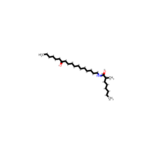 CCCCCCC(=O)CCCCCCCCCCCNC(=O)C(C)CCCCCC